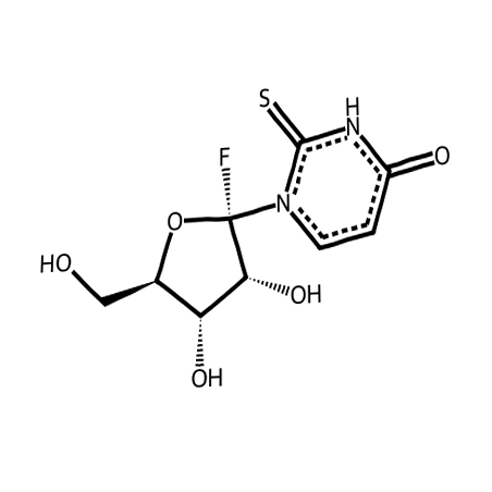 O=c1ccn([C@]2(F)O[C@H](CO)[C@@H](O)[C@H]2O)c(=S)[nH]1